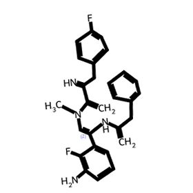 C=C(Cc1ccccc1)N/C(=C\N(C)C(=C)C(=N)Cc1ccc(F)cc1)c1cccc(N)c1F